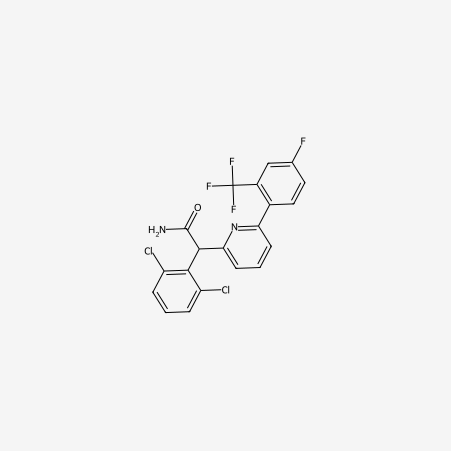 NC(=O)C(c1cccc(-c2ccc(F)cc2C(F)(F)F)n1)c1c(Cl)cccc1Cl